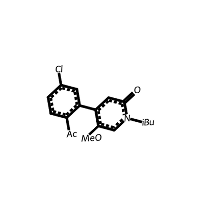 CCC(C)n1cc(OC)c(-c2cc(Cl)ccc2C(C)=O)cc1=O